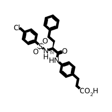 O=C(O)CCc1ccc(NC(=O)[C@H](CCc2ccccc2)NS(=O)(=O)c2ccc(Cl)cc2)cc1